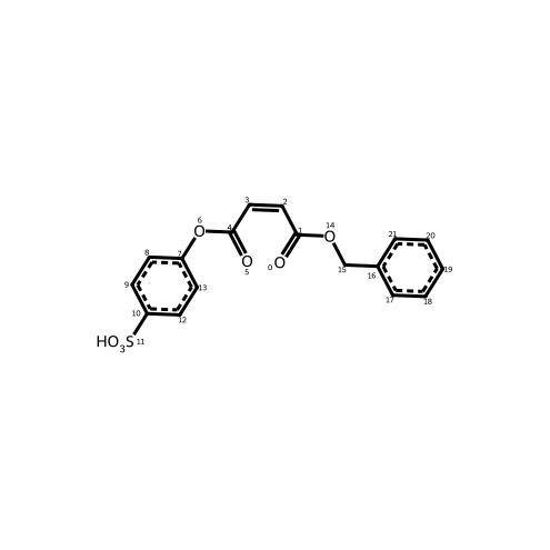 O=C(/C=C\C(=O)Oc1ccc(S(=O)(=O)O)cc1)OCc1ccccc1